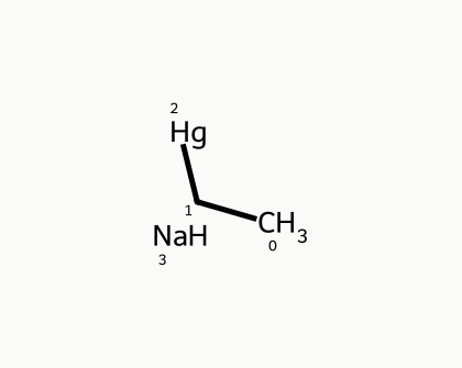 C[CH2][Hg].[NaH]